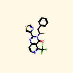 C[C@H](Cc1ccccc1)n1c(-c2cscn2)nc2ccnc(C(F)(F)F)c2c1=O